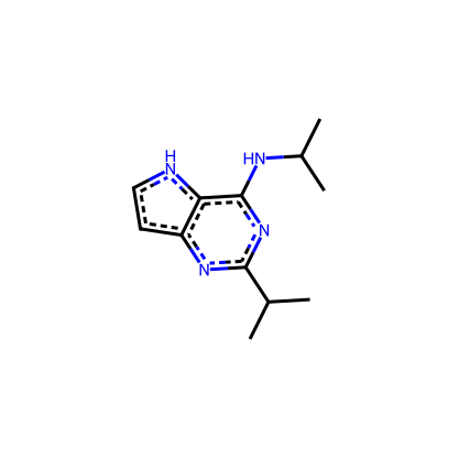 CC(C)Nc1nc(C(C)C)nc2cc[nH]c12